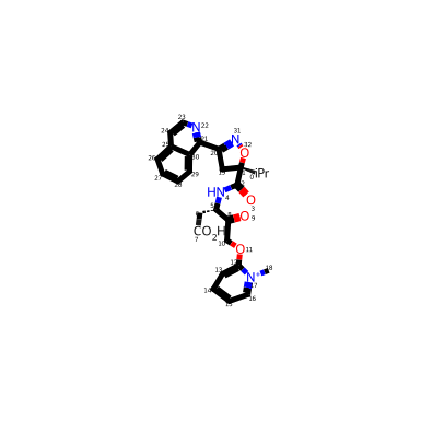 CC(C)[C@@]1(C(=O)N[C@@H](CC(=O)O)C(=O)COc2cccc[n+]2C)CC(c2nccc3ccccc23)=NO1